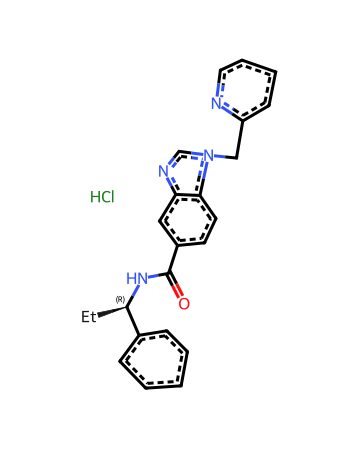 CC[C@@H](NC(=O)c1ccc2c(c1)ncn2Cc1ccccn1)c1ccccc1.Cl